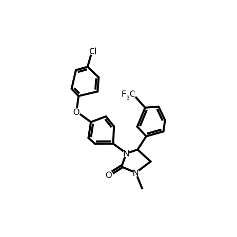 CN1CC(c2cccc(C(F)(F)F)c2)N(c2ccc(Oc3ccc(Cl)cc3)cc2)C1=O